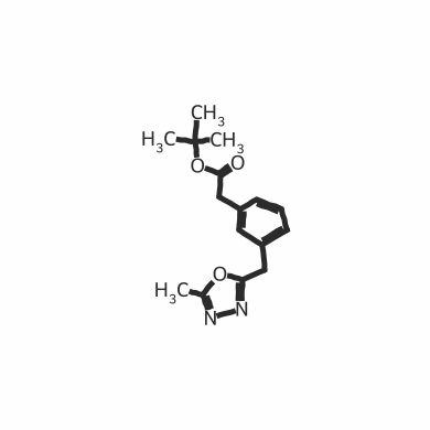 Cc1nnc(Cc2cccc(CC(=O)OC(C)(C)C)c2)o1